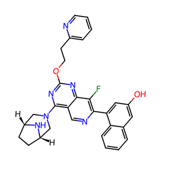 Oc1cc(-c2ncc3c(N4C[C@H]5CC[C@@H](C4)N5)nc(OCCc4ccccn4)nc3c2F)c2ccccc2c1